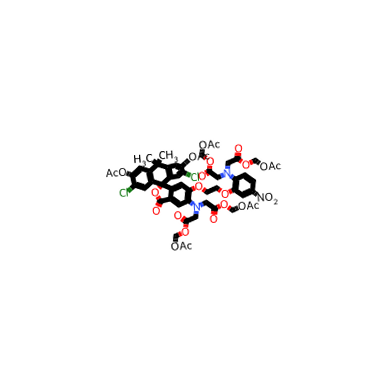 CC(=O)OCOC(=O)CN(CC(=O)OCOC(C)=O)c1ccc([N+](=O)[O-])cc1OCCOc1cc2c(cc1N(CC(=O)OCOC(C)=O)CC(=O)OCOC(C)=O)C(=O)OC21c2cc(Cl)c(OC(C)=O)cc2C(C)(C)c2cc(OC(C)=O)c(Cl)cc21